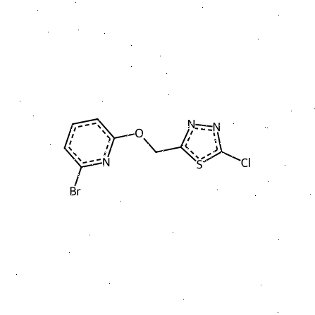 Clc1nnc(COc2cccc(Br)n2)s1